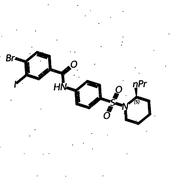 CCC[C@H]1CCCCN1S(=O)(=O)c1ccc(NC(=O)c2ccc(Br)c(I)c2)cc1